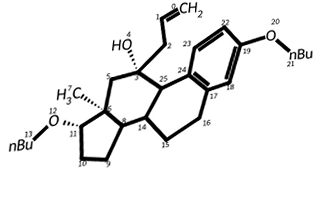 C=CC[C@]1(O)C[C@@]2(C)C(CC[C@@H]2OCCCC)C2CCc3cc(OCCCC)ccc3C21